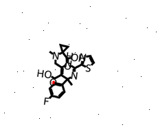 CN(CC1=C(C(=O)O)C(C)(c2ccc(F)cc2)N=C(c2nccs2)N1)C1(C(=O)O)CC1